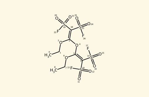 CCOC(OC(OCC)=C(S(=O)(=O)F)S(=O)(=O)F)=C(S(=O)(=O)F)S(=O)(=O)F